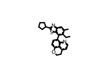 CCc1c(C)cc2nc(C3CCCC3)sc2c1-c1ccc2c3c(ccnc13)CCO2